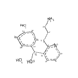 Cl.Cl.NCCSc1ncccc1C(O)c1ccccc1